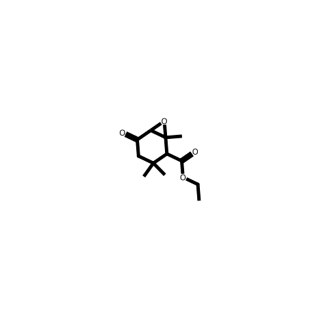 CCOC(=O)C1C(C)(C)CC(=O)C2OC21C